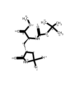 [2H]C1([2H])C[C@@H](C[C@H](NC(=O)OC(C)(C)C)C(=O)OC)C(=O)N1